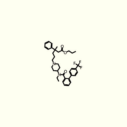 CCCOC(=O)CC(C)(CCCN1CCC(N(CC)C(=O)c2ccccc2-c2ccc(C(F)(F)F)cc2)CC1)c1ccccc1